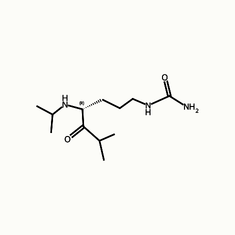 CC(C)N[C@H](CCCNC(N)=O)C(=O)C(C)C